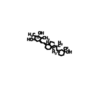 C=C1C(=CC=C2CCC[C@]3(C)[C@@H]([C@H](C)CN4CCCC(O)(C(F)(F)F)C4)CC[C@@H]23)C[C@@H](O)[C@H](C)[C@@H]1O